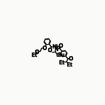 CCOCCOc1ccccc1C(=O)NN(C(=O)c1ccc(C(=O)C(CC)CC)cc1)C(C)C(C)(C)C